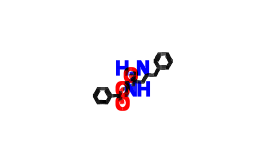 N[C@@H](CC(=O)NOC(=O)c1ccccc1)Cc1ccccc1